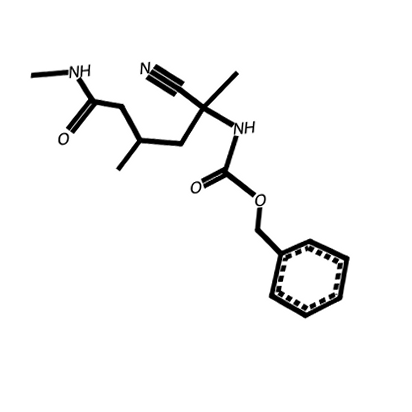 CNC(=O)CC(C)CC(C)(C#N)NC(=O)OCc1ccccc1